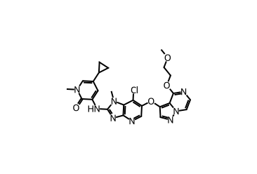 COCCOc1nccn2ncc(Oc3cnc4nc(Nc5cc(C6CC6)cn(C)c5=O)n(C)c4c3Cl)c12